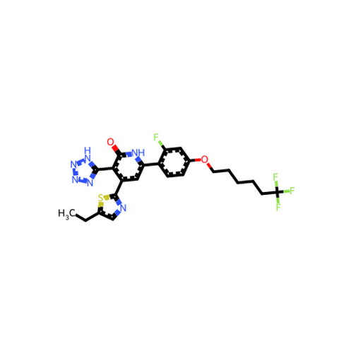 CCc1cnc(-c2cc(-c3ccc(OCCCCCC(F)(F)F)cc3F)[nH]c(=O)c2-c2nnn[nH]2)s1